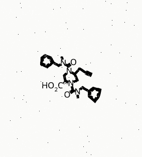 C#CCC1CN(C(=O)N(C)Cc2ccccc2)[C@H](C(=O)O)CN1C(=O)N(C)Cc1ccccc1